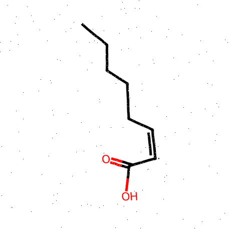 CCCCC/C=[C]\C(=O)O